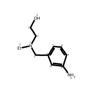 CCN(CCO)Cc1cccc(N)c1